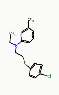 CCN(CCSc1ccc(Cl)cc1)c1cccc(C)c1